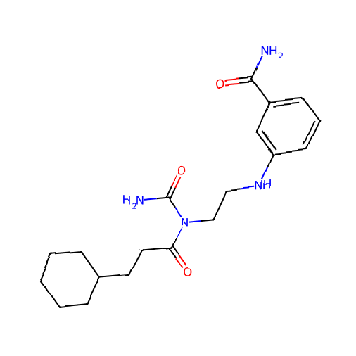 NC(=O)c1cccc(NCCN(C(N)=O)C(=O)[CH]CC2CCCCC2)c1